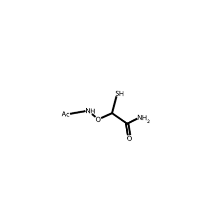 CC(=O)NOC(S)C(N)=O